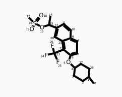 CC1CCC(Oc2ccc3ccc(C(C)OS(C)(=O)=O)cc3c2C(F)(F)F)CC1